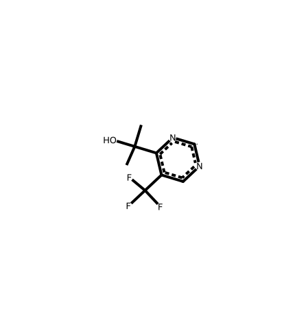 CC(C)(O)c1n[c]ncc1C(F)(F)F